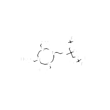 CCC(COCCN1CCN(CC(=O)O)CCN(CC(=O)O)CCN(CC(=O)O)CC1)(COC(C(F)(F)F)(C(F)(F)F)C(F)(F)F)COC(C(F)(F)F)(C(F)(F)F)C(F)(F)F